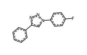 Fc1ccc(-n2cc(-c3ccccc3)nn2)cc1